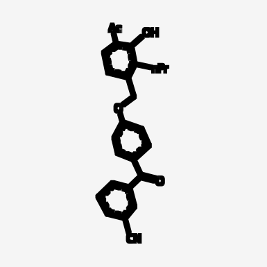 CCCc1c(COc2ccc(C(=O)c3cccc(C#N)c3)cc2)ccc(C(C)=O)c1O